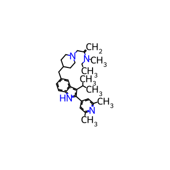 C=C(CN1CCC(Cc2ccc3[nH]c(-c4cc(C)nc(C)c4)c(C(C)C)c3c2)CC1)N(C)CC